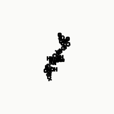 C=CC(=O)Nc1cc(Nc2nc(-c3ccnc(N4CCn5c(cc6c5CC(C)(C)C6)C4=O)c3CO)cnc2OC)ccc1N1CCN(C2CCN(c3cccc4c3C(=O)N(C3CCC(=O)N(C)C3=O)C4=O)CC2)C[C@@H]1C